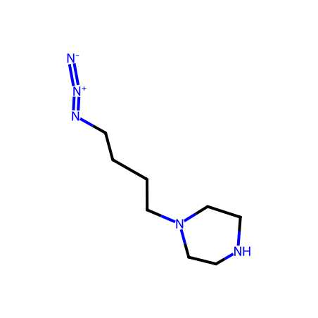 [N-]=[N+]=NCCCCN1CCNCC1